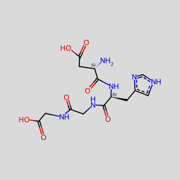 N[C@@H](CC(=O)O)C(=O)N[C@@H](Cc1c[nH]cn1)C(=O)NCC(=O)NCC(=O)O